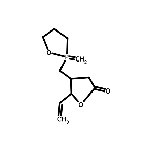 C=CC1OC(=O)CC1CP1(=C)CCCO1